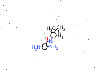 CC(C)(C)C1CCC(NC(=O)c2cc(N)ccc2N)CC1